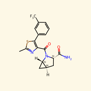 Cc1nc(C(=O)N2[C@H](C(N)=O)C[C@H]3C[C@@H]32)c(-c2cccc(C(F)(F)F)c2)s1